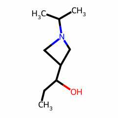 CCC(O)C1CN(C(C)C)C1